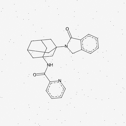 O=C(NC12CC3CC(C1)CC(N1Cc4ccccc4C1=O)(C3)C2)c1ccccn1